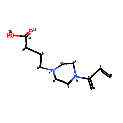 C=CC(=C)N1CCN(CCCC(=O)O)CC1